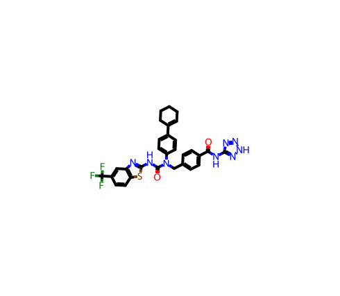 O=C(Nc1nn[nH]n1)c1ccc(CN(C(=O)Nc2nc3cc(C(F)(F)F)ccc3s2)c2ccc(C3=CCCCC3)cc2)cc1